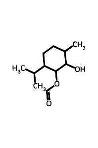 CC(C)C1CCC(C)C(O)C1O[C]=O